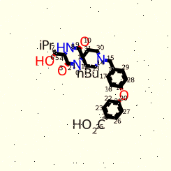 CCCCN1C(=O)C(C(O)C(C)C)NC(=O)C12CCN(Cc1ccc(Oc3ccc(C(=O)O)cc3)cc1)CC2